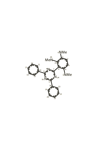 CNc1ccc(NC)c(-c2nc(-c3ccccc3)nc(-c3ccccc3)n2)c1NC